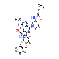 CC#CC(=O)N[C@H]1CCCN(c2nc(-c3ccc(Oc4ccccc4)cc3)c(C(N)=O)c3[nH]c(C)nc23)C1